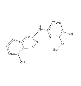 CC[C@@H](C)Oc1nc(Nc2cc3cccc(C)c3cn2)cnc1C#N